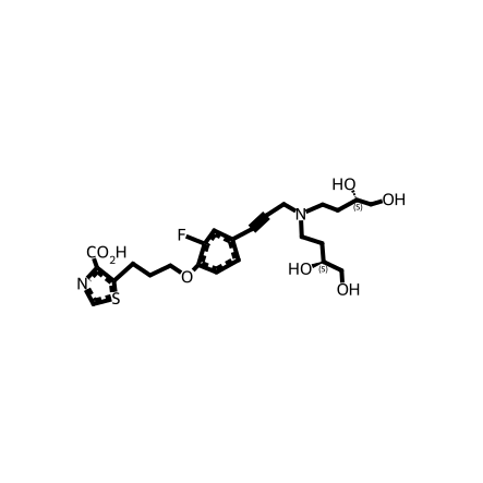 O=C(O)c1ncsc1CCCOc1ccc(C#CCN(CC[C@H](O)CO)CC[C@H](O)CO)cc1F